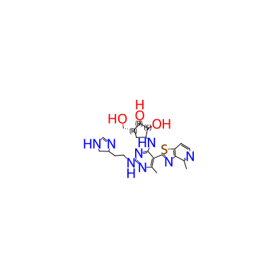 Cc1nc(NCCC2CNC=N2)nc(NC2C[C@H](CO)[C@@H](O)[C@H]2O)c1-c1nc2c(C)nccc2s1